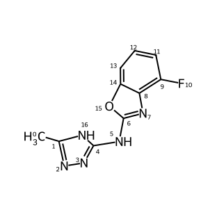 Cc1nnc(Nc2nc3c(F)cccc3o2)[nH]1